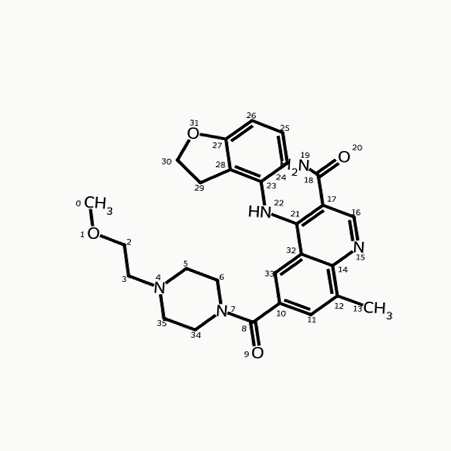 COCCN1CCN(C(=O)c2cc(C)c3ncc(C(N)=O)c(Nc4cccc5c4CCO5)c3c2)CC1